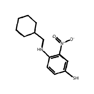 O=[N+]([O-])c1cc(S)ccc1NCC1CCCCC1